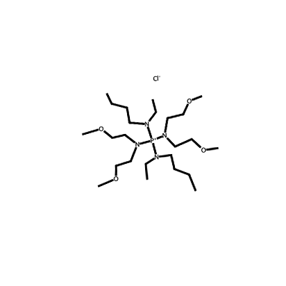 CCCCN(CC)[P+](N(CC)CCCC)(N(CCOC)CCOC)N(CCOC)CCOC.[Cl-]